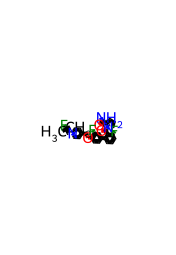 CC(C)(F)CN1CCC(COc2ccc(-c3cccc(F)c3C(=O)N3CCC[C@H]3C(N)=O)cc2F)CC1